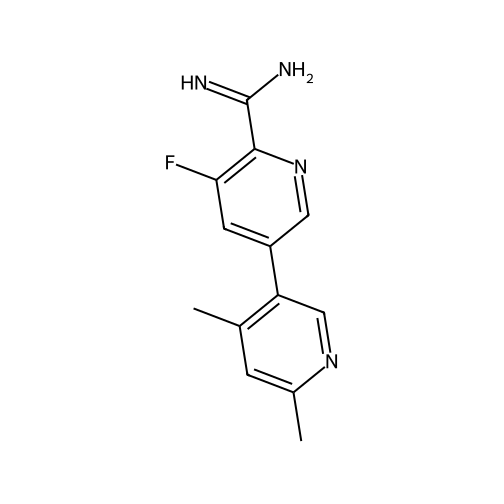 Cc1cc(C)c(-c2cnc(C(=N)N)c(F)c2)cn1